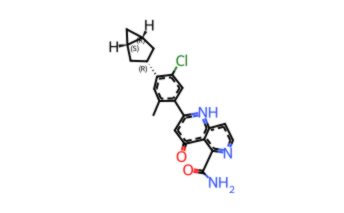 Cc1cc([C@@H]2C[C@@H]3C[C@@H]3C2)c(Cl)cc1-c1cc(=O)c2c(C(N)=O)nccc2[nH]1